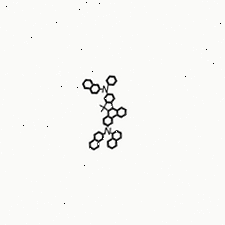 CC1(C)c2cc(N(c3ccccc3)c3ccc4ccccc4c3)ccc2-c2c1c1ccc(N(c3ccc4ccccc4c3)c3cccc4ccccc34)cc1c1ccccc21